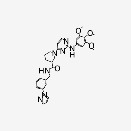 COc1cc(Nc2nccc(N3CCCC(C(=O)NCc4cccc(-n5cccn5)c4)C3)n2)cc(OC)c1OC